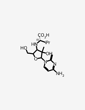 C=C1N=C(N)C=CN1C1OC(CO)C(N[C@H](C(=O)O)C(C)C)C1(C)O